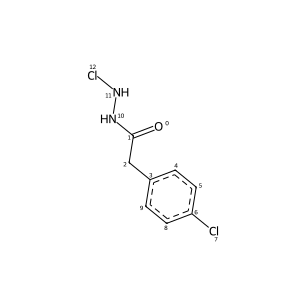 O=C(Cc1ccc(Cl)cc1)NNCl